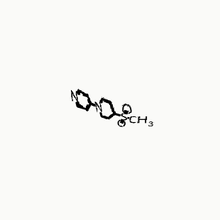 CS(=O)(=O)C1CCN(c2ccncc2)CC1